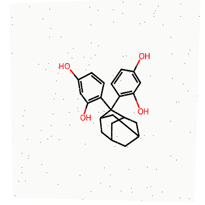 Oc1ccc(C2(c3ccc(O)cc3O)C3CC4CC(C3)CC2C4)c(O)c1